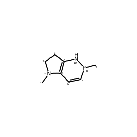 CN1CCC2=C1C=CP(C)N2